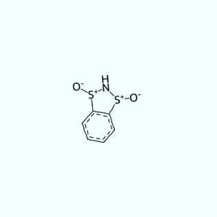 [O-][S+]1N[S+]([O-])c2ccccc21